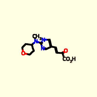 CN(c1ncc(C=CC(=O)C(=O)O)cn1)C1CCOCC1